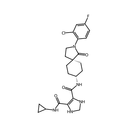 O=C(NC1CC1)C1=C(C(=O)N[C@H]2CC[C@@]3(CCN(c4ccc(F)cc4Cl)C3=O)CC2)NCN1